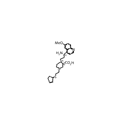 COc1ccc2nccc([C@@H](N)CC[C@@H]3CCN(CCSC4CCCC4)C[C@@H]3C(=O)O)c2c1